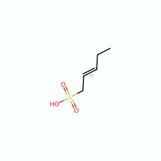 CC/C=C/CS(=O)(=O)O